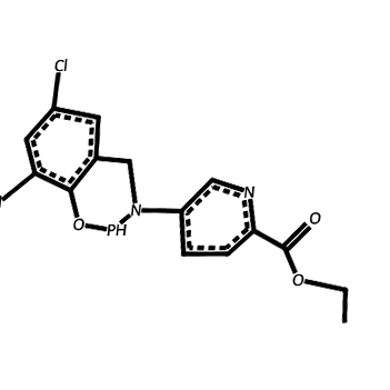 CCOC(=O)c1ccc(N2Cc3cc(Cl)cc(Cl)c3OP2)cn1